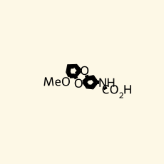 COc1cccc2c1Oc1ccc(NC(=O)O)cc1O2